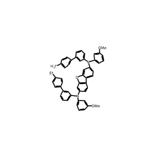 CCc1ccc(-c2cccc(N(c3cccc(OC)c3)c3ccc4c(c3)oc3cc(N(c5cccc(OC)c5)c5cccc(-c6ccc(C)cc6)c5)ccc34)c2)cc1